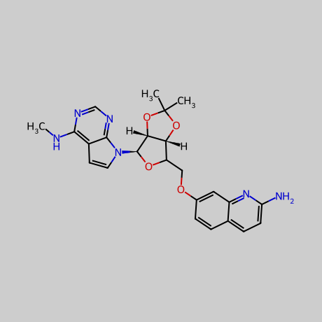 CNc1ncnc2c1ccn2[C@@H]1OC(COc2ccc3ccc(N)nc3c2)[C@H]2OC(C)(C)O[C@H]21